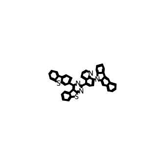 c1ccc2cc3c(cc2c1)c1ccccc1n3-c1ccc(-c2nc(-c3ccc4c(c3)sc3ccccc34)c3c(n2)sc2ccccc23)c2cccnc12